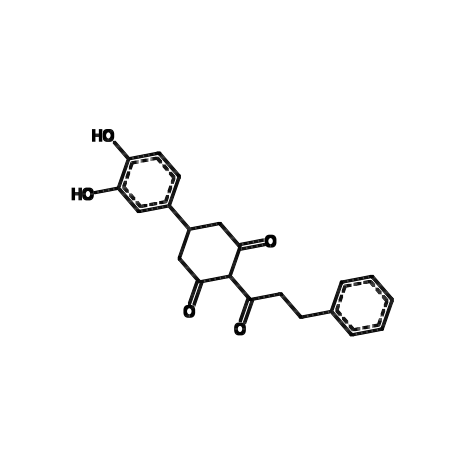 O=C(CCc1ccccc1)C1C(=O)CC(c2ccc(O)c(O)c2)CC1=O